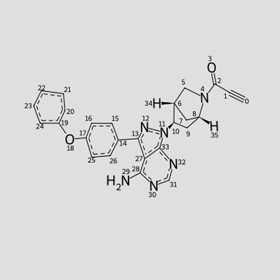 C#CC(=O)N1C[C@@H]2C[C@H]1C[C@H]2n1nc(-c2ccc(Oc3ccccc3)cc2)c2c(N)ncnc21